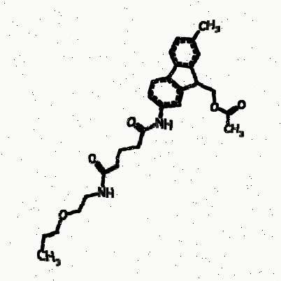 CCCOCCNC(=O)CCCC(=O)Nc1ccc2c(c1)C(COC(C)=O)c1cc(C)ccc1-2